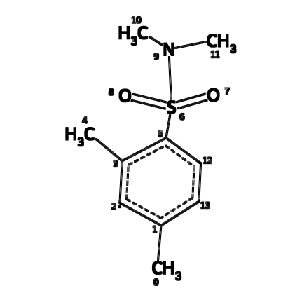 Cc1[c]c(C)c(S(=O)(=O)N(C)C)cc1